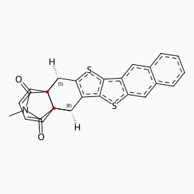 CN1C(=O)C2C(C1=O)[C@H]1c3sc4c(sc5cc6ccccc6cc54)c3[C@@H]2C2C=CC=CC21